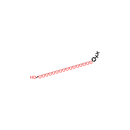 CC(C)(C)CC(C)(C)c1ccc(OCOCOCOCOCOCOCOCOCOCOCOCOCOCOCOCCO)cc1